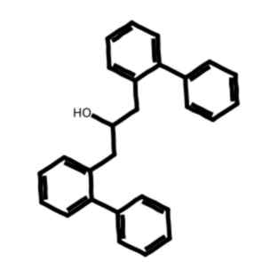 OC(Cc1ccccc1-c1ccccc1)Cc1ccccc1-c1ccccc1